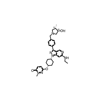 CCNc1cc2c(cn1)c(-c1ccc(CN3C[C@H](C)[C@@H](O)C3)cc1)nn2[C@H]1CC[C@@H](Oc2ccc(=O)n(C)n2)CC1